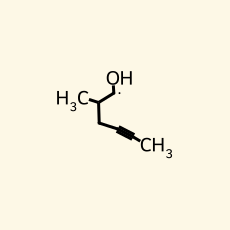 CC#CCC(C)[CH]O